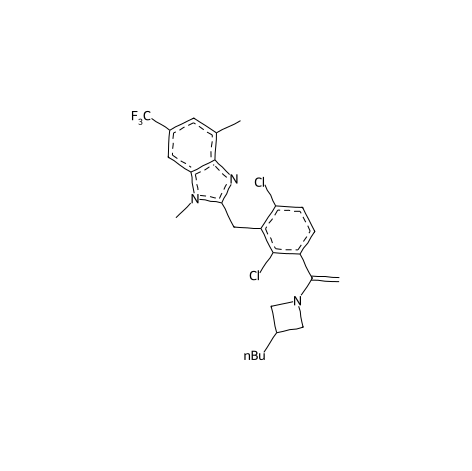 C=C(c1ccc(Cl)c(Cc2nc3c(C)cc(C(F)(F)F)cc3n2C)c1Cl)N1CC(CCCC)C1